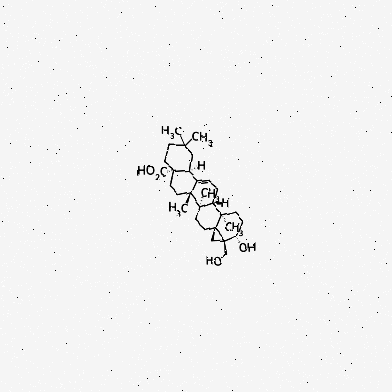 CC1(C)CC[C@]2(C(=O)O)CC[C@]3(C)C(=CC[C@@H]4[C@@]5(C)CC[C@H](O)[C@]6(CO)C[C@]65CC[C@]43C)[C@@H]2C1